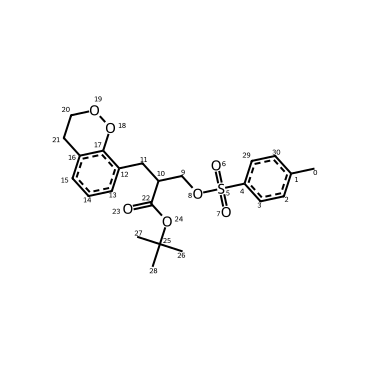 Cc1ccc(S(=O)(=O)OCC(Cc2cccc3c2OOCC3)C(=O)OC(C)(C)C)cc1